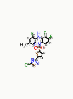 Cc1ccc(Nc2c(NS(=O)(=O)c3ccc(-c4nsc(Cl)n4)s3)ccc(F)c2F)c(F)c1